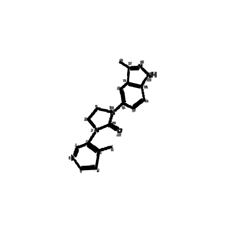 Cc1ccncc1N1CCN(c2ccc3[nH]nc(C)c3c2)C1=O